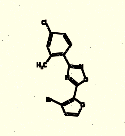 Cc1cc(Cl)ccc1-c1noc(-c2occc2Br)n1